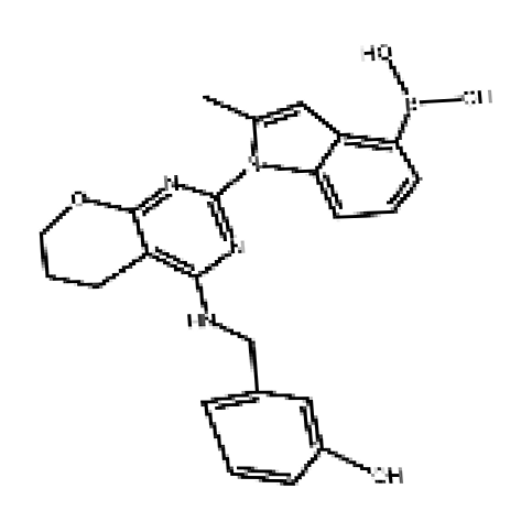 Cc1cc2c(B(O)O)cccc2n1-c1nc(NCc2cccc(O)c2)c2c(n1)OCCC2